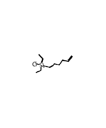 C=CCCCC[Si](Cl)(CC)CC